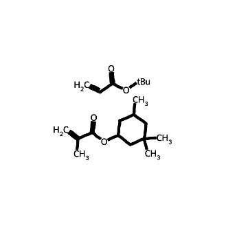 C=C(C)C(=O)OC1CC(C)CC(C)(C)C1.C=CC(=O)OC(C)(C)C